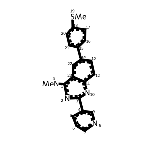 CNc1nc(-c2cccnc2)nc2ccc(-c3ccc(SC)cc3)cc12